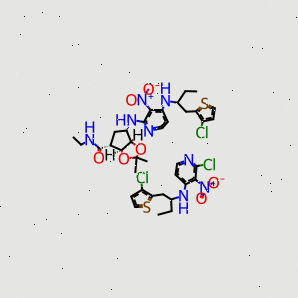 CCC(Cc1sccc1Cl)Nc1ccnc(Cl)c1[N+](=O)[O-].CCNC(=O)[C@@H]1C[C@H](Nc2nccc(NC(CC)Cc3sccc3Cl)c2[N+](=O)[O-])[C@H]2OC(C)(C)O[C@H]21